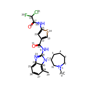 CC(=O)N1CCCC[C@@H](n2c(NC(=O)c3csc(NC(=O)C(F)Cl)c3)nc3cccc(C)c32)C1